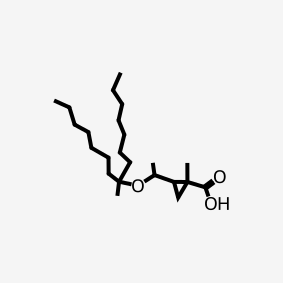 CCCCCCCC(C)(CCCCCCC)OC(C)C1CC1(C)C(=O)O